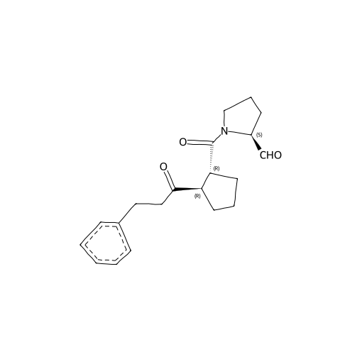 O=C[C@@H]1CCCN1C(=O)[C@@H]1CCC[C@H]1C(=O)CCc1ccccc1